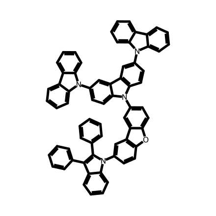 c1ccc(-c2c(-c3ccccc3)n(-c3ccc4oc5ccc(-n6c7ccc(-n8c9ccccc9c9ccccc98)cc7c7cc(-n8c9ccccc9c9ccccc98)ccc76)cc5c4c3)c3ccccc23)cc1